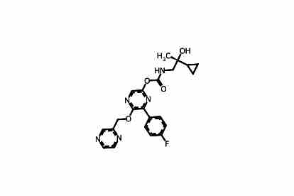 C[C@](O)(CNC(=O)Oc1cnc(OCc2cnccn2)c(-c2ccc(F)cc2)n1)C1CC1